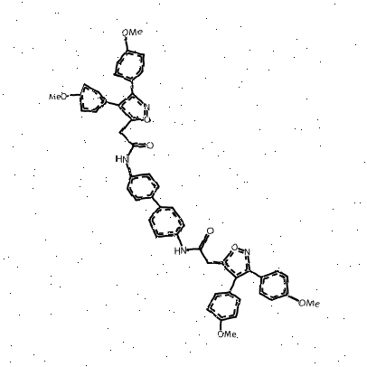 COc1ccc(-c2noc(CC(=O)Nc3ccc(-c4ccc(NC(=O)Cc5onc(-c6ccc(OC)cc6)c5-c5ccc(OC)cc5)cc4)cc3)c2-c2ccc(OC)cc2)cc1